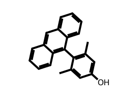 Cc1cc(O)cc(C)c1-c1c2ccccc2cc2ccccc12